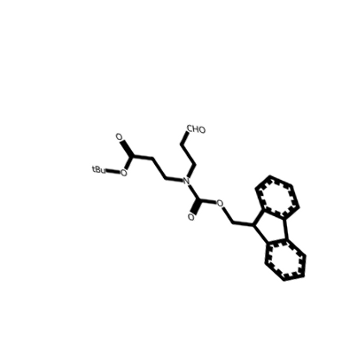 CC(C)(C)OC(=O)CCN(CCC=O)C(=O)OCC1c2ccccc2-c2ccccc21